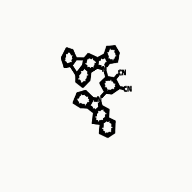 N#Cc1cc(-n2c3ccccc3c3cc4ccccc4cc32)cc(-n2c3ccccc3c3cc4c5c(cccc5c32)-c2ccccc2-4)c1C#N